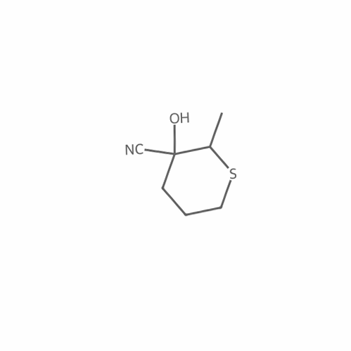 CC1SCCCC1(O)C#N